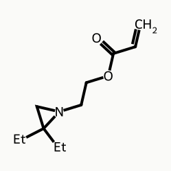 C=CC(=O)OCCN1CC1(CC)CC